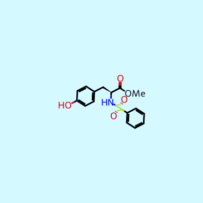 COC(=O)[C@H](Cc1ccc(O)cc1)NS(=O)(=O)c1ccccc1